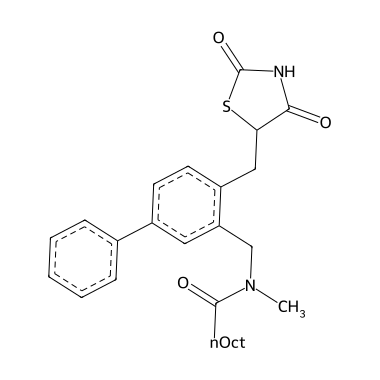 CCCCCCCCC(=O)N(C)Cc1cc(-c2ccccc2)ccc1CC1SC(=O)NC1=O